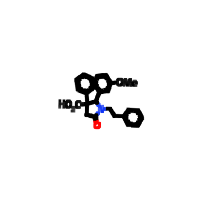 COc1cccc(C2N(CCc3ccccc3)C(=O)CC2(C(=O)O)c2ccccc2)c1